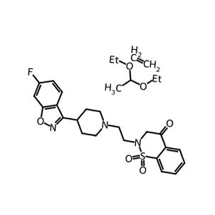 C=C.CCOC(C)OCC.O=C1CN(CCN2CCC(c3noc4cc(F)ccc34)CC2)S(=O)(=O)c2ccccc21